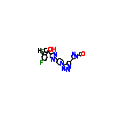 CC(O)(c1cnc(C2=CCN(c3ncnn4cc(-c5cnn(C6COC6)c5)cc34)CC2)nc1)c1ccc(F)cc1F